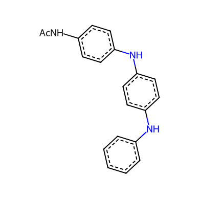 CC(=O)Nc1ccc(Nc2ccc(Nc3ccccc3)cc2)cc1